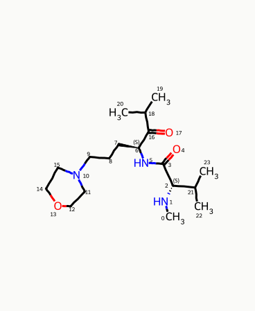 CN[C@H](C(=O)N[C@@H](CCCN1CCOCC1)C(=O)C(C)C)C(C)C